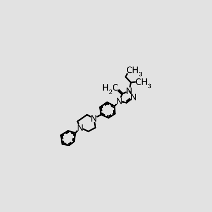 C=C1N(c2ccc(N3CCN(c4ccccc4)CC3)cc2)C=NN1C(C)CC